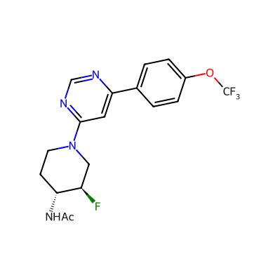 CC(=O)N[C@@H]1CCN(c2cc(-c3ccc(OC(F)(F)F)cc3)ncn2)C[C@H]1F